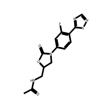 CC(=O)NCC1CN(c2ccc(-c3ncns3)c(F)c2)C(=O)O1